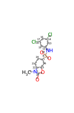 Cn1c(=O)oc2cc(S(=O)(=O)Nc3cc(Cl)cc(Cl)c3)ccc21